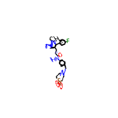 Cn1ncc(/C=C/C(=O)Nc2ccc(CN3CCS(=O)(=O)CC3)cc2)c1-c1ccc(F)cc1